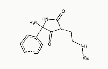 CC(C)(C)NCCN1C(=O)NC(P)(c2ccccc2)C1=O